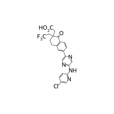 O=C(O)CC1(CC(F)(F)F)CCc2cc(-c3cnc(Nc4ccc(Cl)cn4)cn3)ccc2C1=O